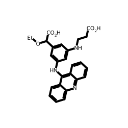 CCOC(C(=O)O)c1cc(NCCC(=O)O)cc(Nc2c3ccccc3nc3ccccc23)c1